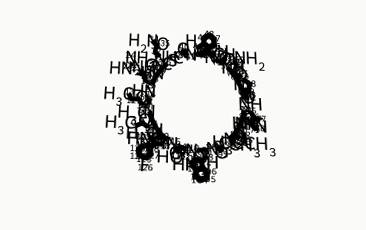 CCCC[C@H]1C(=O)N(C)[C@@H](CCCC)C(=O)N[C@@H](CCCNC(=N)N)C(=O)N[C@H](C(=O)NCC(N)=O)CSCC(=O)N[C@@H](Cc2ccccc2)C(=O)N(C)[C@@H](C)C(=O)N[C@@H](CC(N)=O)C(=O)N2CCC[C@H]2C(=O)N[C@@H](Cc2cnc[nH]2)C(=O)N[C@@H](CC(C)C)C(=O)N(C)CC(=O)N[C@@H](CC2CNc3ccccc32)C(=O)N[C@@H](CO)C(=O)N[C@@H](Cc2c[nH]c3ccc(F)cc23)C(=O)N1C